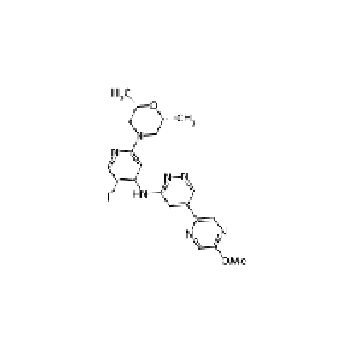 COc1cnc(-c2cnnc(Nc3cc(N4C[C@@H](C)O[C@@H](C)C4)ncc3F)c2)cn1